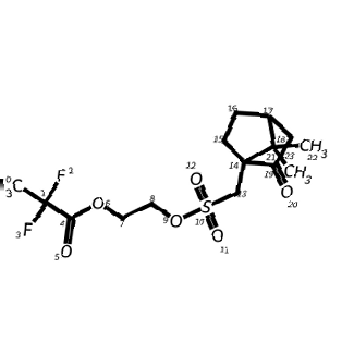 CC(F)(F)C(=O)OCCOS(=O)(=O)CC12CCC(CC1=O)C2(C)C